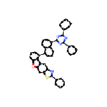 c1ccc(-c2nc(-c3ccccc3)nc(-c3cccc4c(-c5cccc6oc7cc8sc(-c9ccccc9)nc8cc7c56)cccc34)n2)cc1